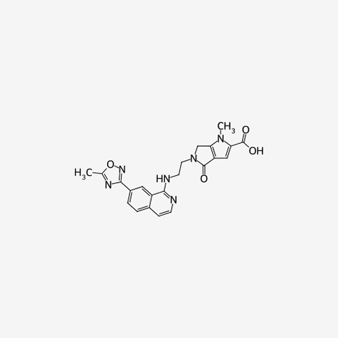 Cc1nc(-c2ccc3ccnc(NCCN4Cc5c(cc(C(=O)O)n5C)C4=O)c3c2)no1